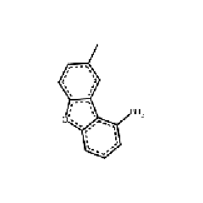 Bc1cccc2oc3ccc(C)cc3c12